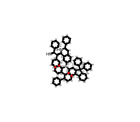 N=C(/C(=C1\NC(c2ccccc2)=Cc2ccc(N(c3ccc4c(c3)C(c3ccccc3)(c3ccccc3)c3ccccc3-4)c3ccccc3-c3ccccc3-c3ccccc3)cc21)c1ccccc1)c1ccccc1